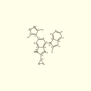 Cc1noc(C)c1-c1cc(-n2c(C)cc3ccccc32)c2nc(C3CC3)[nH]c2c1